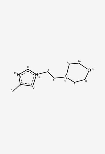 Cc1[c]n(CCN2CCOCC2)cn1